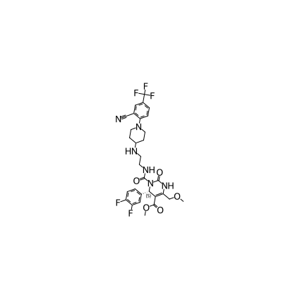 COCC1=C(C(=O)OC)[C@H](c2ccc(F)c(F)c2)N(C(=O)NCCNC2CCN(c3ccc(C(F)(F)F)cc3C#N)CC2)C(=O)N1